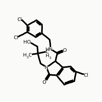 CC(C)(CO)CN1C(=O)c2ccc(Cl)cc2C1C(=O)NCc1ccc(Cl)c(Cl)c1